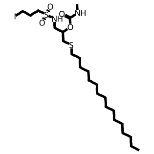 CCCCCCCCCCCCCCCCSCC(CNS(=O)(=O)CCCI)OC(=O)NC